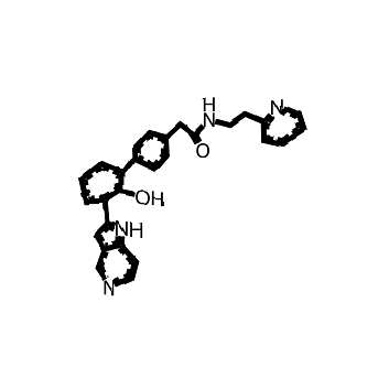 O=C(Cc1ccc(-c2cccc(-c3cc4cnccc4[nH]3)c2O)cc1)NCCc1ccccn1